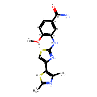 Cc1nc(C)c(-c2csc(Nc3cc(C(N)=O)ccc3OC(C)C)n2)s1